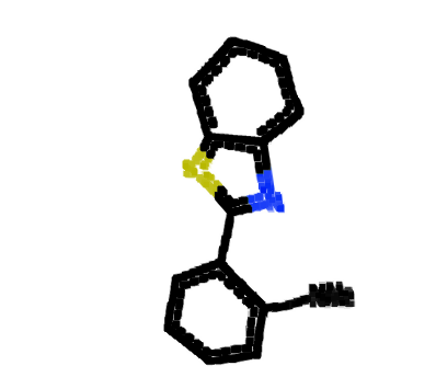 CNc1ccccc1-c1nc2ccccc2s1